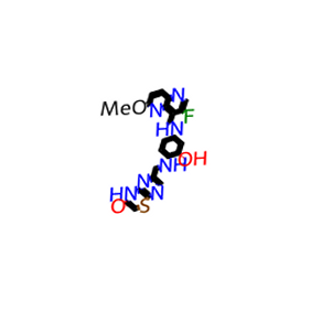 COc1ccc2ncc(F)c(CN[C@@H]3CC[C@@H](NCc4cnc5c(n4)NC(=O)CS5)[C@@H](O)C3)c2n1